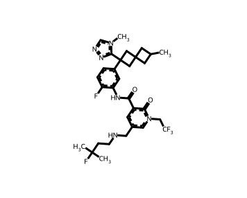 CC1CC2(C1)CC(c1ccc(F)c(NC(=O)c3cc(CNCCC(C)(C)F)cn(CC(F)(F)F)c3=O)c1)(c1nncn1C)C2